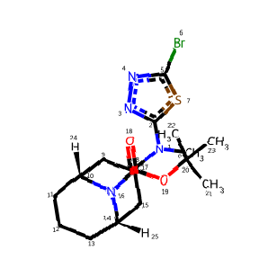 CN(c1nnc(Br)s1)C1C[C@H]2CCC[C@@H](C1)N2C(=O)OC(C)(C)C